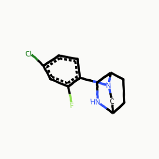 Fc1cc(Cl)ccc1N1CC2CCC1CN2